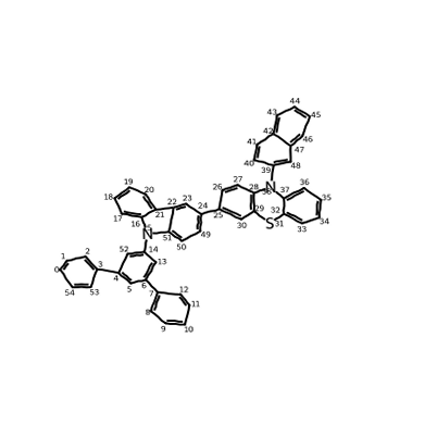 c1ccc(-c2cc(-c3ccccc3)cc(-n3c4ccccc4c4cc(-c5ccc6c(c5)Sc5ccccc5N6c5ccc6ccccc6c5)ccc43)c2)cc1